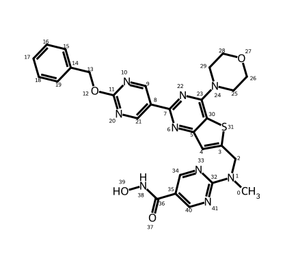 CN(Cc1cc2nc(-c3cnc(OCc4ccccc4)nc3)nc(N3CCOCC3)c2s1)c1ncc(C(=O)NO)cn1